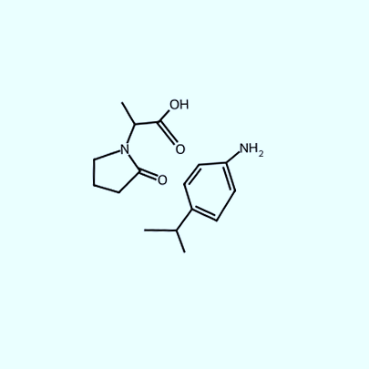 CC(C(=O)O)N1CCCC1=O.CC(C)c1ccc(N)cc1